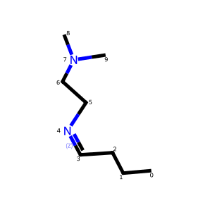 CCC/C=N\CCN(C)C